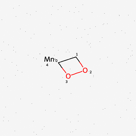 C1COO1.[Mn]